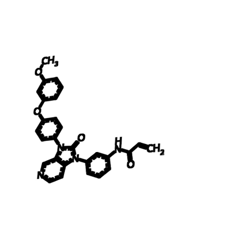 C=CC(=O)Nc1cccc(-n2c(=O)n(-c3ccc(Oc4cccc(OC)c4)cc3)c3cnccc32)c1